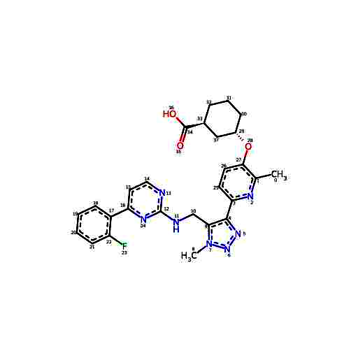 Cc1nc(-c2nnn(C)c2CNc2nccc(-c3ccccc3F)n2)ccc1O[C@H]1CCC[C@H](C(=O)O)C1